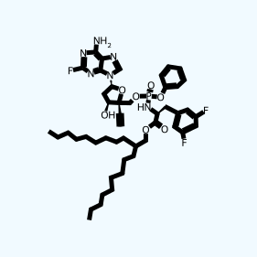 C#C[C@]1(COP(=O)(N[C@@H](Cc2cc(F)cc(F)c2)C(=O)OCC(CCCCCCCCC)CCCCCCCCC)Oc2ccccc2)O[C@@H](n2cnc3c(N)nc(F)nc32)C[C@@H]1O